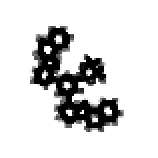 CC1(C)OB(c2cc(-c3cccc4c3sc3c5ccccc5ccc43)cc(-c3cccc4c3sc3c5ccccc5ccc43)c2)OC1(C)C